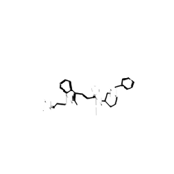 Cc1c(C=CC(=O)NC2CCCN(Cc3ccccc3)C2)c2ccccc2n1CCCN(C)C